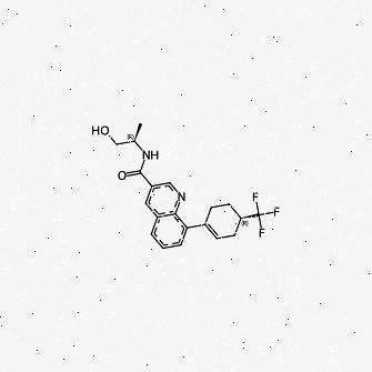 C[C@H](CO)NC(=O)c1cnc2c(C3=CC[C@H](C(F)(F)F)CC3)cccc2c1